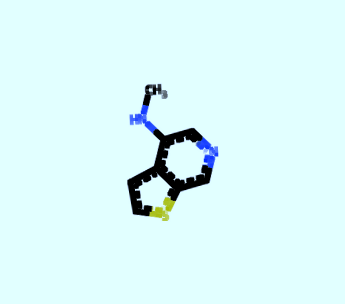 CNc1cncc2sccc12